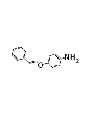 Nc1ccc(OC=Cc2ccccc2)cc1